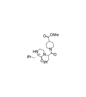 COC(=O)C1CCN(C(=O)C(CC(C)C)N2CCN[C@@H](CC(C)C)C2=O)CC1